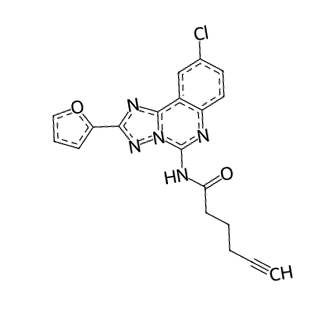 C#CCCCC(=O)Nc1nc2ccc(Cl)cc2c2nc(-c3ccco3)nn12